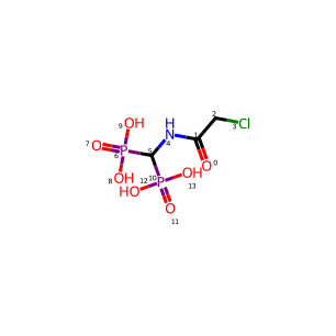 O=C(CCl)NC(P(=O)(O)O)P(=O)(O)O